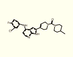 CC1CCN(C(=O)N2CC=C(c3cc4c(Nc5ccc(F)c(Cl)c5)ccnc4[nH]3)CC2)CC1